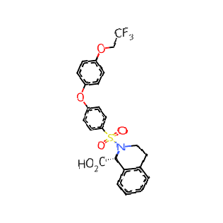 O=C(O)[C@H]1c2ccccc2CCN1S(=O)(=O)c1ccc(Oc2ccc(OCC(F)(F)F)cc2)cc1